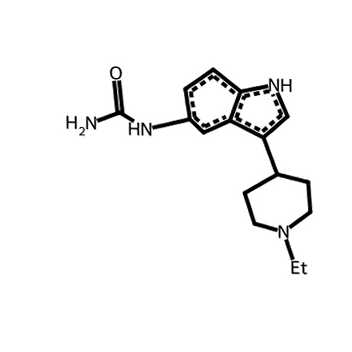 CCN1CCC(c2c[nH]c3ccc(NC(N)=O)cc23)CC1